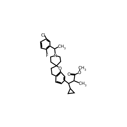 COC(=O)C(C)C(c1ccc2c(c1)OC1(CC2)CCN(C(C)c2cc(Cl)ccc2F)CC1)C1CC1